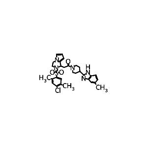 Cc1ccc2[nH]c(C3CCN(C(=O)CC4c5cccn5CCN4S(=O)(=O)c4cc(C)c(Cl)cc4C)CC3)nc2c1